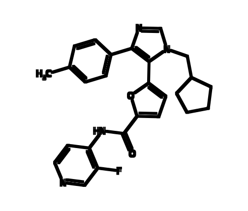 Cc1ccc(-c2ncn(CC3CCCC3)c2-c2ccc(C(=O)Nc3ccncc3F)o2)cc1